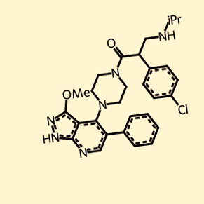 COc1n[nH]c2ncc(-c3ccccc3)c(N3CCN(C(=O)C(CNC(C)C)c4ccc(Cl)cc4)CC3)c12